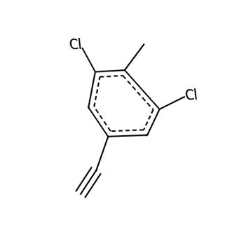 C#Cc1cc(Cl)c(C)c(Cl)c1